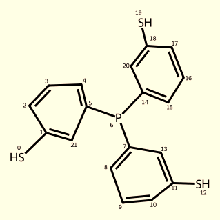 Sc1cccc(P(c2cccc(S)c2)c2cccc(S)c2)c1